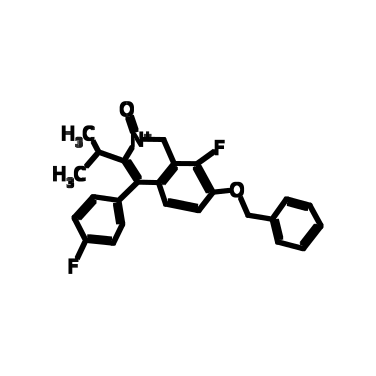 CC(C)C1=C(c2ccc(F)cc2)c2ccc(OCc3ccccc3)c(F)c2C[N+]1=O